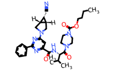 CCCCOC(=O)N1CCN(C(=O)[C@@H](NC(=O)c2cc(N3C[C@@H]4[C@H](C#N)[C@@H]4C3)nc(-c3ccccc3)n2)C(C)C)CC1